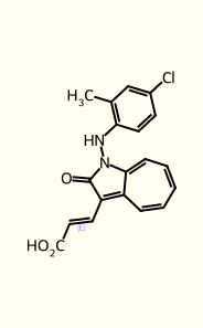 Cc1cc(Cl)ccc1Nn1c2cccccc-2c(/C=C/C(=O)O)c1=O